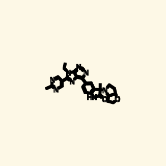 CCn1c(-c2cnc(C)nc2)nc2c(-c3ccc4c(c3)C(C)(N3CCC5OCCC53)C(=O)N4)ncnc21